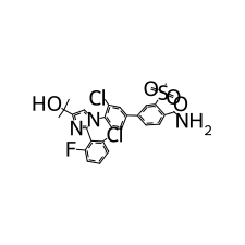 CC(C)(O)c1cn(-c2ccc(-c3ccc(C(N)=O)c(S(C)(=O)=O)c3)cc2Cl)c(-c2c(F)cccc2Cl)n1